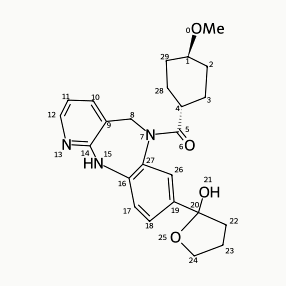 CO[C@H]1CC[C@H](C(=O)N2Cc3cccnc3Nc3ccc(C4(O)CCCO4)cc32)CC1